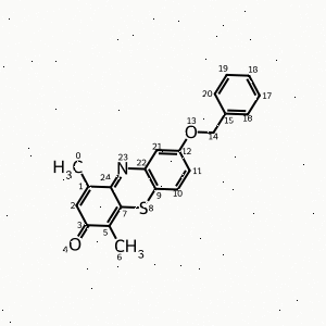 Cc1cc(=O)c(C)c2sc3ccc(OCc4ccccc4)cc3nc1-2